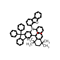 CC1(C)CCC(C)(C)c2c(-c3cc4c(cc3N(c3ccccc3)c3cccc5c3oc3ccccc35)C(c3ccccc3)(c3ccccc3)c3ccccc3-4)cccc21